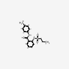 CCCS(=O)(=O)Oc1ccccc1C(=O)Oc1ccc(C)cc1